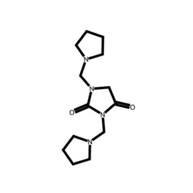 O=C1CN(CN2CCCC2)C(=O)N1CN1CCCC1